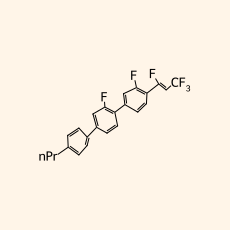 CCCc1ccc(-c2ccc(-c3ccc(/C(F)=C/C(F)(F)F)c(F)c3)c(F)c2)cc1